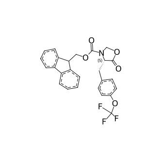 O=C1OCN(C(=O)OCC2c3ccccc3-c3ccccc32)[C@H]1Cc1ccc(OC(F)(F)F)cc1